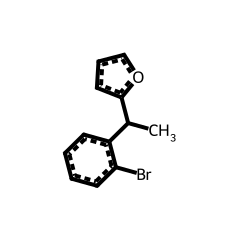 CC(c1ccco1)c1ccccc1Br